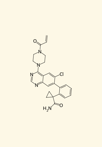 C=CC(=O)N1CCN(c2ncnc3cc(-c4ccccc4C4(C(N)=O)CC4)c(Cl)cc23)CC1